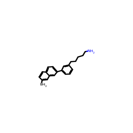 Bc1ccc2ccc(-c3cccc(CCCCCN)c3)cc2c1